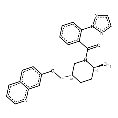 C[C@H]1CC[C@H](COc2ccc3cccnc3c2)CN1C(=O)c1ccccc1-n1nccn1